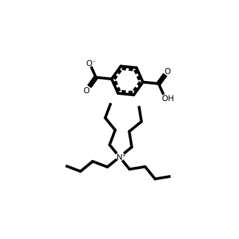 CCCC[N+](CCCC)(CCCC)CCCC.O=C([O-])c1ccc(C(=O)O)cc1